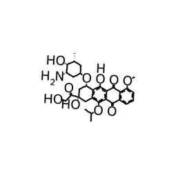 COc1cccc2c1C(=O)c1c(O)c3c(c(OC(C)C)c1C2=O)C[C@@](O)(C(=O)CO)C[C@@H]3OC1C[C@@H](C)[C@@H](O)[C@@H](N)C1